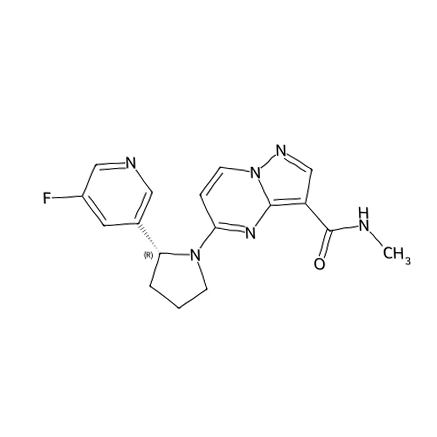 CNC(=O)c1cnn2ccc(N3CCC[C@@H]3c3cncc(F)c3)nc12